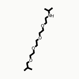 CC(C)COCCOCCOCCOCCNC(C)C